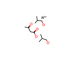 CC(=O)CC(=O)[O-].CC(C)C[O-].CC(C)C[O-].[Al+3]